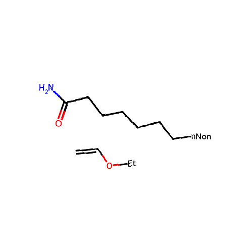 C=COCC.CCCCCCCCCCCCCCCC(N)=O